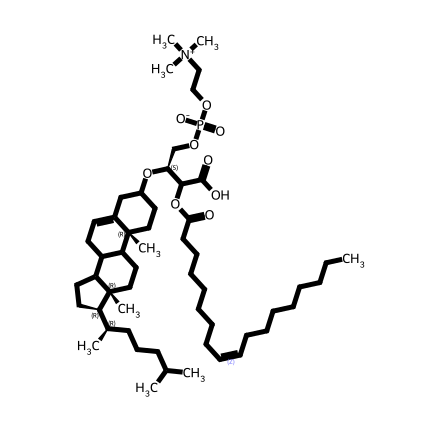 CCCCCCCC/C=C\CCCCCCCC(=O)OC(C(=O)O)[C@H](COP(=O)([O-])OCC[N+](C)(C)C)OC1CC[C@@]2(C)C(=CCC3C2CC[C@@]2(C)C3CC[C@@H]2[C@H](C)CCCC(C)C)C1